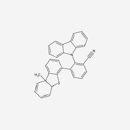 CC12C=CC=CC1Sc1c(-c3cccc(C#N)c3-n3c4ccccc4c4ccccc43)cccc12